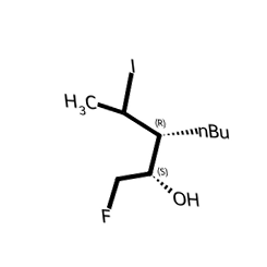 CCCC[C@@H](C(C)I)[C@H](O)CF